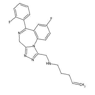 C=CCCCNCc1nnc2n1-c1ccc(F)cc1C(c1ccccc1F)=NC2